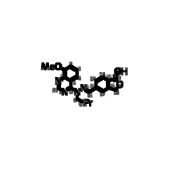 COc1cccc2c(N(CC(C)C)/N=C/c3ccc4c(c3)COB4O)ncnc12